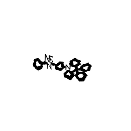 c1ccc(-c2nsc(-c3ccc(N4c5ccccc5C(c5ccccc5)(c5ccccc5)c5ccccc54)cc3)n2)cc1